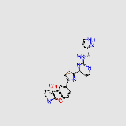 CN1CC[C@@](O)(c2cccc(-c3csc(-c4ccnc(NCc5cc[nH]n5)n4)n3)c2)C1=O